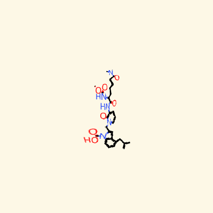 COC(=O)NC(CCC=CC(=O)N(C)C)C(=O)Nc1cccn(Cc2cc3c(CC(C)C)cccc3n2C(=O)O)c1=O